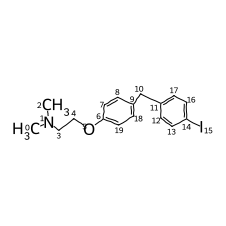 CN(C)CCOc1ccc(Cc2ccc(I)cc2)cc1